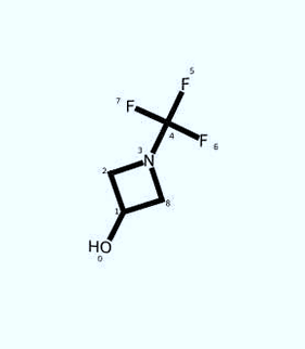 OC1CN(C(F)(F)F)C1